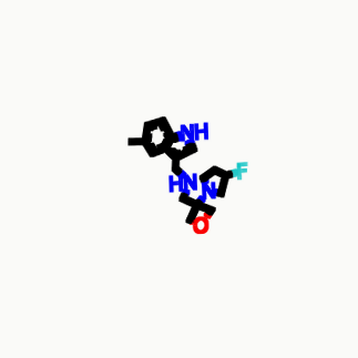 Cc1ccc2[nH]cc(CNCC3(N4CCC(F)C4)COC3)c2c1